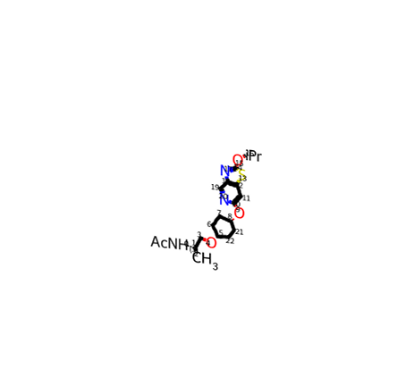 CC(=O)N[C@@H](C)CO[C@H]1CC[C@H](Oc2cc3sc(OC(C)C)nc3cn2)CC1